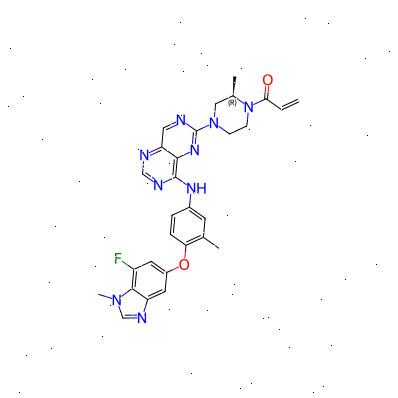 C=CC(=O)N1CCN(c2ncc3ncnc(Nc4ccc(Oc5cc(F)c6c(c5)ncn6C)c(C)c4)c3n2)C[C@H]1C